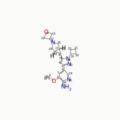 CC(C)Oc1cc(-c2cc([C@H]3[C@@H]4CN(C5COC5)C[C@@H]43)n(C3CCC3)n2)cnc1N